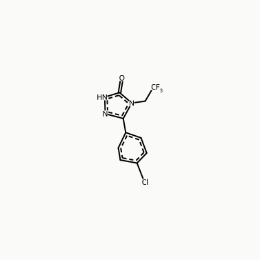 O=c1[nH]nc(-c2ccc(Cl)cc2)n1CC(F)(F)F